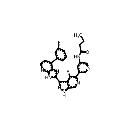 CCCC(=O)Nc1cncc(-c2ncc3[nH]nc(-c4nc5c(-c6cccc(F)c6)ccnc5[nH]4)c3c2F)c1